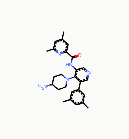 Cc1cc(C)cc(-c2cncc(NC(=O)c3cc(C)cc(C)n3)c2N2CCC(N)CC2)c1